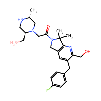 BC[C@H]1CN[C@H](C)CN1CC(=O)N1Cc2cc(Cc3ccc(F)cc3)c(CO)nc2C1(C)C